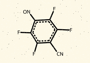 N#Cc1c(F)c(F)c(N=O)c(F)c1F